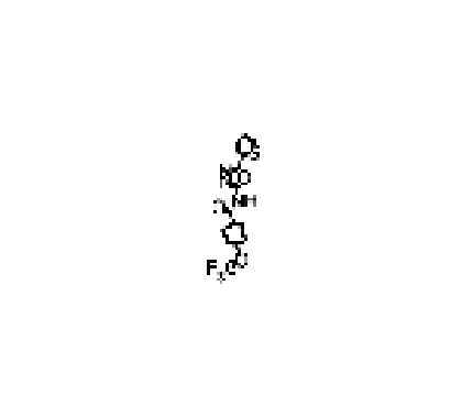 O=C(Nc1nnc(-c2cccs2)o1)c1ccc(OC(F)(F)F)cc1